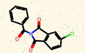 O=C(c1ccccc1)N1C(=O)c2ccc(Cl)cc2C1=O